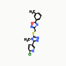 Cc1cccc(-c2nc(CSc3nnc(-c4ccc(Cl)nc4)n3C)no2)c1